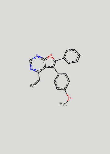 C=Cc1ncnc2oc(-c3ccccc3)c(-c3ccc(OC)cc3)c12